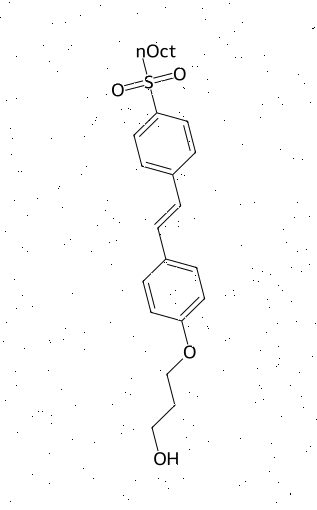 CCCCCCCCS(=O)(=O)c1ccc(C=Cc2ccc(OCCCO)cc2)cc1